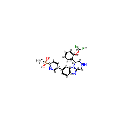 CS(=O)(=O)c1ccc(-c2ccc3nc4n(c3c2)[C@@H](c2ccccc2OC(F)F)CNC4)cn1